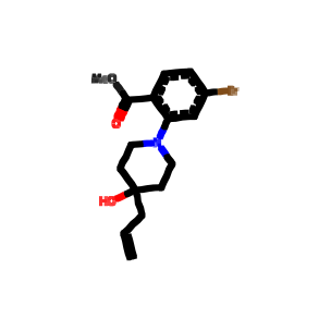 C=CCC1(O)CCN(c2cc(Br)ccc2C(=O)OC)CC1